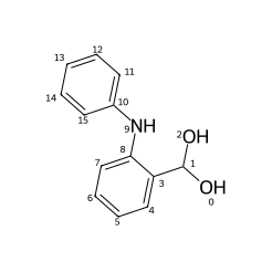 OC(O)c1ccccc1Nc1ccccc1